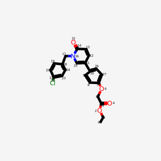 CCOC(=O)COc1ccc(-c2ccc(=O)n(Cc3ccc(Cl)cc3)c2)cc1